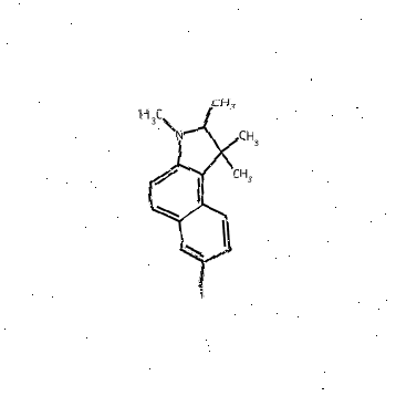 CC1N(C)c2ccc3cc(I)ccc3c2C1(C)C